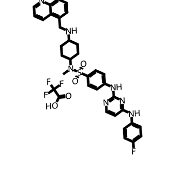 CN(C1CCC(NCc2cccc3ncccc23)CC1)S(=O)(=O)c1ccc(Nc2nccc(Nc3ccc(F)cc3)n2)cc1.O=C(O)C(F)(F)F